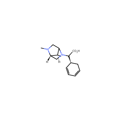 C[C@@H]1C2CN(C)[C@H]1CN2C(C(=O)O)[C@@H]1C=CC=CC1